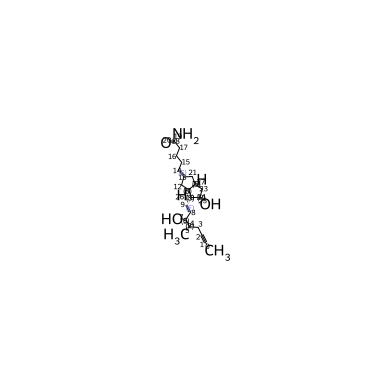 CC#CC[C@@H](C)[C@H](O)/C=C/[C@@H]1[C@H]2C/C(=C/CCCC(N)=O)C[C@H]2C[C@H]1O